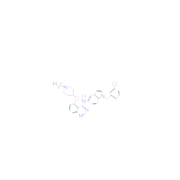 CN1CCC(Oc2cccc3ncnc(Nc4ccc5c(ccn5Cc5cccc(Cl)c5)c4)c23)CC1